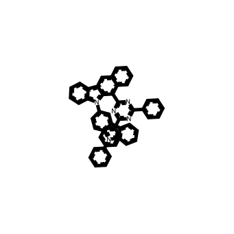 c1ccc(-c2nc(-c3ccccc3)nc(-c3c4ccccc4cc4c5ccccc5n(-c5ccc6c(c5)c5ccccc5n6-c5ccccc5)c34)n2)cc1